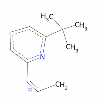 C/C=C\c1cccc(C(C)(C)C)n1